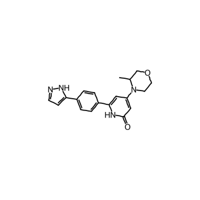 CC1COCCN1c1cc(-c2ccc(-c3ccn[nH]3)cc2)[nH]c(=O)c1